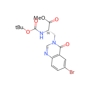 COC(=O)[C@H](Cn1cnc2ccc(Br)cc2c1=O)NC(=O)OC(C)(C)C